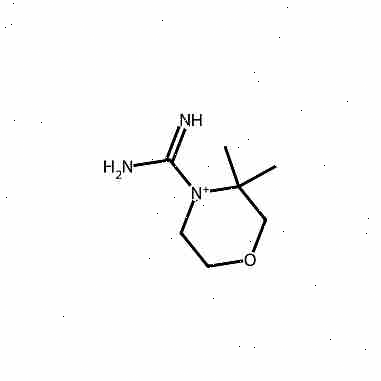 CC1(C)COCC[N+]1C(=N)N